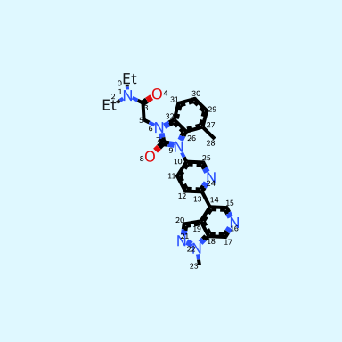 CCN(CC)C(=O)Cn1c(=O)n(-c2ccc(-c3cncc4c3cnn4C)nc2)c2c(C)cccc21